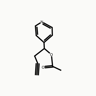 C#CCC(OC(C)=O)c1ccncc1